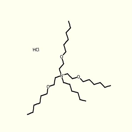 CCCCCCOCC[N+](CCCCCC)(CCOCCCCCC)CCOCCCCCC.Cl